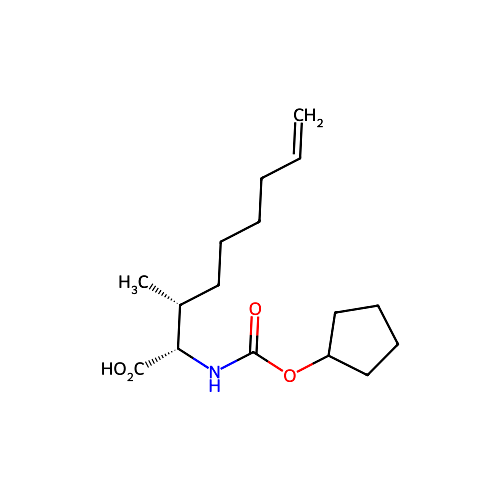 C=CCCCC[C@@H](C)[C@H](NC(=O)OC1CCCC1)C(=O)O